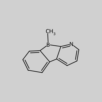 CB1c2ccccc2-c2cccnc21